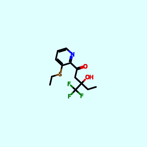 CCSc1cccnc1C(=O)CC(O)(CC)C(F)(F)F